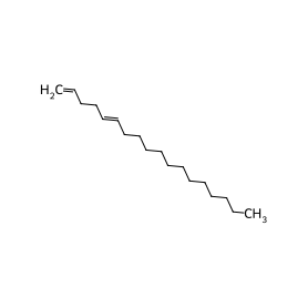 C=CCCC=CCCCCCCCCCCCC